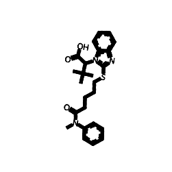 CN(C(=O)CCCCSc1nc2ccccc2n1C(C(=O)O)C(C)(C)C)c1ccccc1